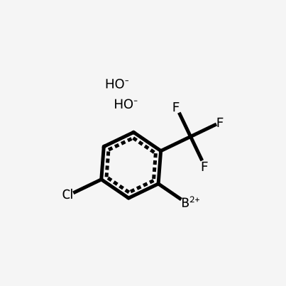 [B+2]c1cc(Cl)ccc1C(F)(F)F.[OH-].[OH-]